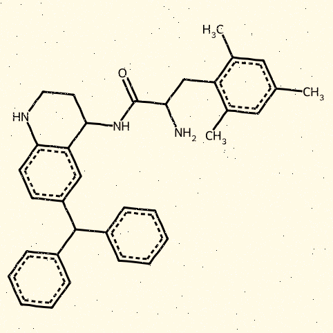 Cc1cc(C)c(CC(N)C(=O)NC2CCNc3ccc(C(c4ccccc4)c4ccccc4)cc32)c(C)c1